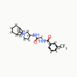 O=C(CNC(=O)c1cccc(C(F)(F)F)c1)NC1CCN(C2C3CCCC2CC3)C1